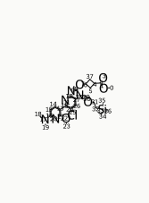 COC(=O)C1CC(Oc2nc3nc(-c4ccc(N(C)C)nc4OC)c(Cl)cc3n2COCC[Si](C)(C)C)C1